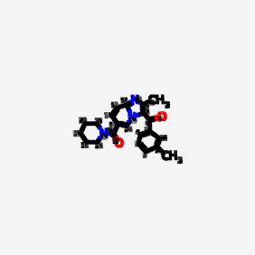 Cc1cccc(C(=O)c2c(C)nc3ccc(C(=O)N4CCCCC4)cn23)c1